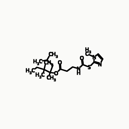 CCC(C)(C)C(C)(CC(C)C)OC(=O)CCNC(=O)Sc1nccn1C